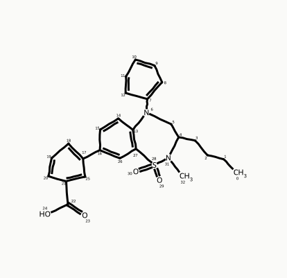 CCCCC1CN(c2ccccc2)c2ccc(-c3cccc(C(=O)O)c3)cc2S(=O)(=O)N1C